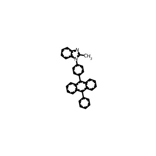 Cc1nc2ccccc2n1-c1ccc(-c2c3ccccc3c(-c3ccccc3)c3ccccc23)cc1